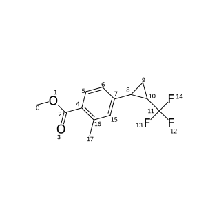 COC(=O)c1ccc(C2CC2C(F)(F)F)cc1C